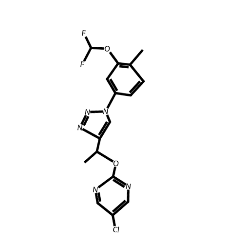 Cc1ccc(-n2cc(C(C)Oc3ncc(Cl)cn3)nn2)cc1OC(F)F